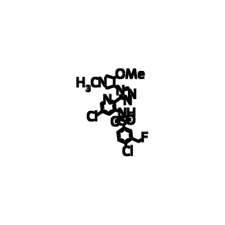 COC1CN(C)C[C@@H]1n1cnnc1-c1ncc(Cl)cc1NS(=O)(=O)c1ccc(Cl)c(CF)c1